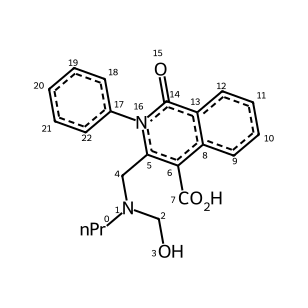 CCCN(CO)Cc1c(C(=O)O)c2ccccc2c(=O)n1-c1ccccc1